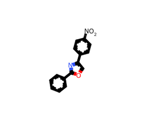 O=[N+]([O-])c1ccc(-c2coc(-c3ccccc3)n2)cc1